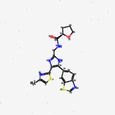 Cc1csc(-c2nc(CNC(=O)[C@H]3CCCO3)[nH]c2-c2ccc3ncsc3c2)n1